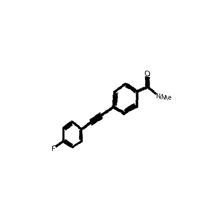 CNC(=O)c1ccc(C#Cc2ccc(F)cc2)cc1